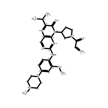 C=CC(=O)N1CCC(n2c(=O)c(C(C)C)nc3cnc(Nc4ccc(N5CCN(C)CC5)cc4OC)nc32)C1